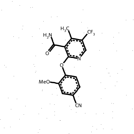 COc1cc(C#N)ccc1Oc1ncc(C(F)(F)F)c(C)c1C(N)=O